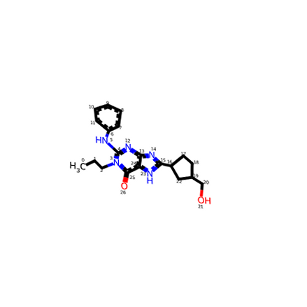 CCCn1c(Nc2ccccc2)nc2nc(C3CCC(CO)C3)[nH]c2c1=O